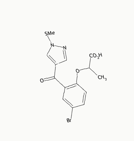 CSn1cc(C(=O)c2cc(Br)ccc2OC(C)C(=O)O)cn1